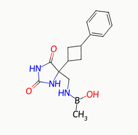 CB(O)NCC1(C2CC(c3ccccc3)C2)NC(=O)NC1=O